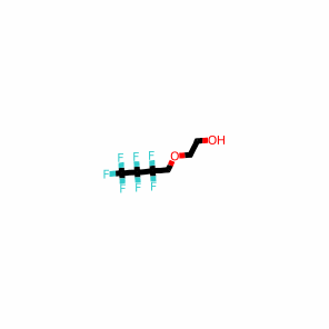 OCCOCC(F)(F)C(F)(F)C(F)(F)F